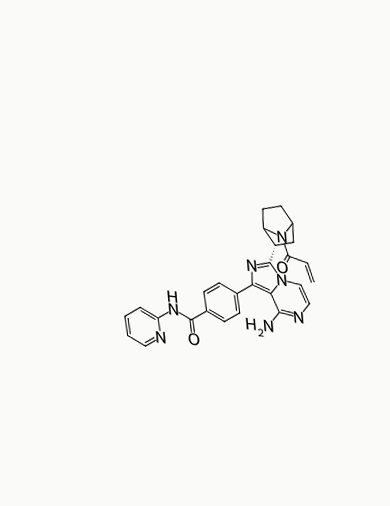 C=CC(=O)N1C2CCC1[C@@H](c1nc(-c3ccc(C(=O)Nc4ccccn4)cc3)c3c(N)nccn13)C2